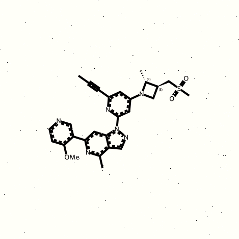 CC#Cc1cc(N2C[C@H](CS(C)(=O)=O)[C@H]2C)cc(-n2ncc3c(C)nc(-c4cnccc4OC)cc32)n1